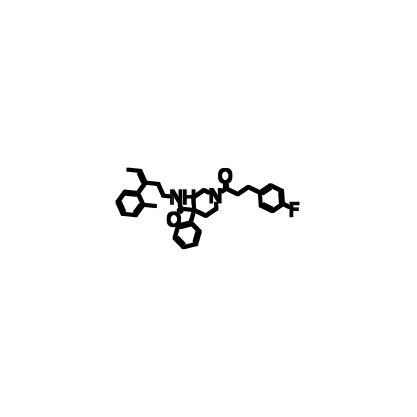 C/C=C(/CCNC(=O)C1(c2ccccc2)CCN(C(=O)CCc2ccc(F)cc2)CC1)c1ccccc1C